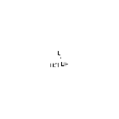 Cl.[LiH].[Li][CH3]